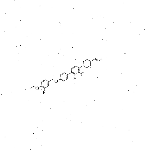 C/C=C/C1CCC(c2ccc(-c3ccc(OCc4ccc(OCC)c(F)c4)cc3)c(F)c2F)CC1